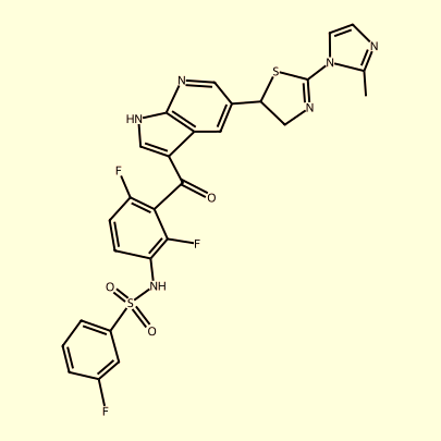 Cc1nccn1C1=NCC(c2cnc3[nH]cc(C(=O)c4c(F)ccc(NS(=O)(=O)c5cccc(F)c5)c4F)c3c2)S1